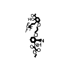 CCOC(=O)C(=O)Nc1cccc(OCCCOc2ccc(C(C)=O)c(O)c2CCC(F)(F)F)c1C#N